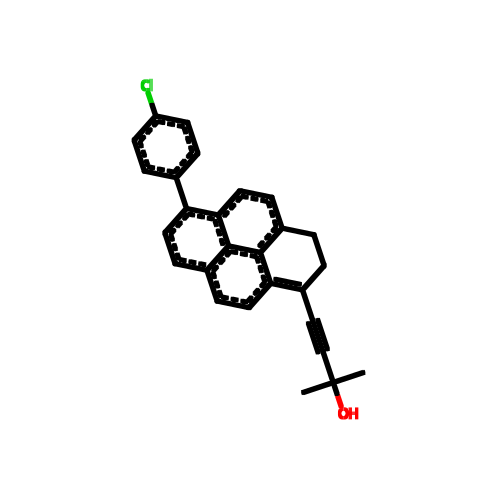 CC(C)(O)C#CC1=c2ccc3ccc(-c4ccc(Cl)cc4)c4ccc(c2c34)CC1